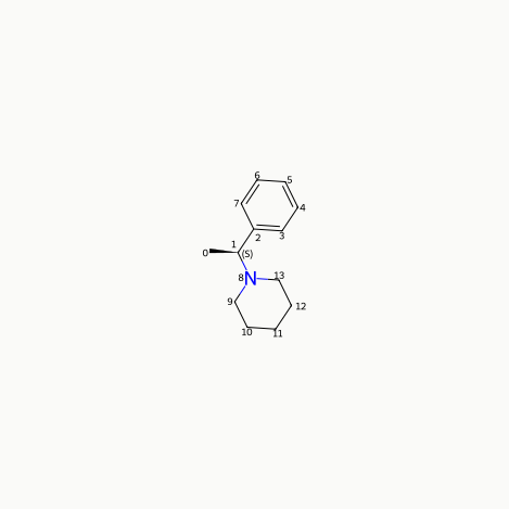 C[C@@H](c1ccccc1)N1CCCCC1